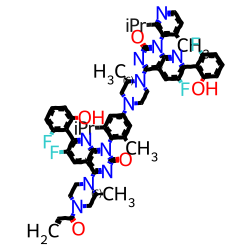 C=CC(=O)N1CCN(c2nc(=O)n(-c3c(C)cc(N4CCN(c5nc(=O)n(-c6c(C)ccnc6C(C)C)c6nc(-c7c(O)cccc7F)c(F)cc56)[C@@H](C)C4)cc3C(C)C)c3nc(-c4c(O)cccc4F)c(F)cc23)[C@@H](C)C1